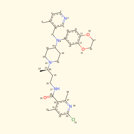 Cc1ccncc1CN(c1ccc2c(c1)OCCO2)C1CCN([C@H](C)CCNC(=O)c2c(C)cc(Cl)nc2C)CC1